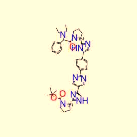 CCN(CC)C(C(=O)N1CCC[C@H]1c1ncc(-c2ccc(-c3ncc(-c4c[nH]c([C@@H]5CCCN5C(=O)OC(C)(C)C)n4)cn3)cc2)[nH]1)c1ccccc1